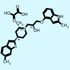 Cc1ccc2cc([C@@H]3CCN(C[C@H](O)COc4cccc5[nH]c(C)cc45)[C@@H](C)C3)sc2c1.O=C(O)C(=O)O